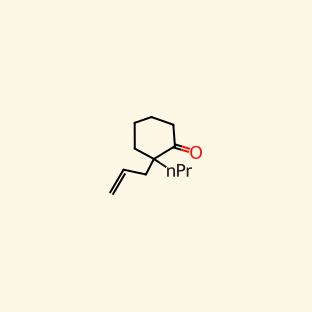 C=CCC1(CCC)CCCCC1=O